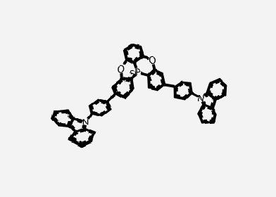 S=P12c3ccc(-c4ccc(-n5c6ccccc6c6ccccc65)cc4)cc3Oc3cccc(c31)Oc1cc(-c3ccc(-n4c5ccccc5c5ccccc54)cc3)ccc12